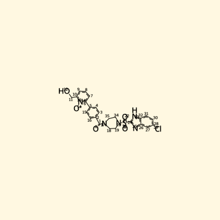 O=C(c1ccc(-c2cccc(CO)[n+]2[O-])cc1)N1CCN(S(=O)(=O)c2nc3cc(Cl)ccc3[nH]2)CC1